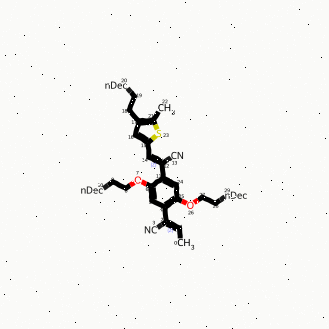 C/C=C(\C#N)c1cc(OCCCCCCCCCCCC)c(/C(C#N)=C/c2cc(CCCCCCCCCCCC)c(C)s2)cc1OCCCCCCCCCCCC